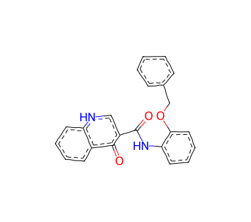 O=C(Nc1ccccc1OCc1ccccc1)c1c[nH]c2ccccc2c1=O